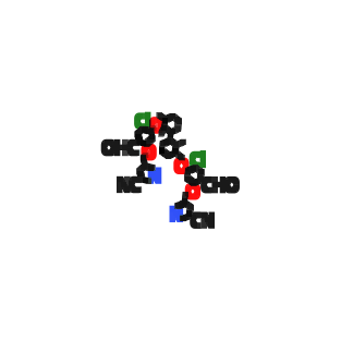 CC1=CC=CC(c2cccc(COc3cc(OCc4cncc(C#N)c4)c(C=O)cc3Cl)c2C)C1(C)Oc1cc(OCc2cncc(C#N)c2)c(C=O)cc1Cl